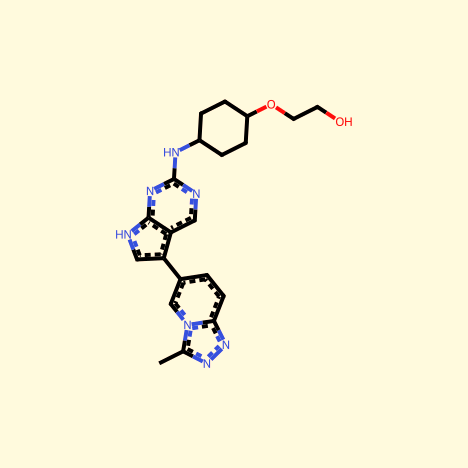 Cc1nnc2ccc(-c3c[nH]c4nc(NC5CCC(OCCO)CC5)ncc34)cn12